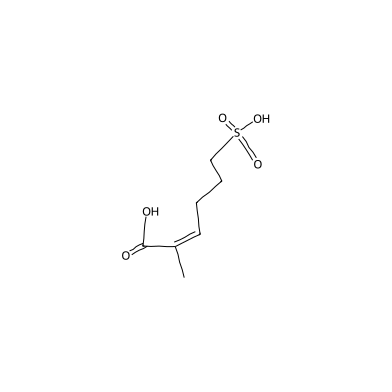 CC(=CCCCS(=O)(=O)O)C(=O)O